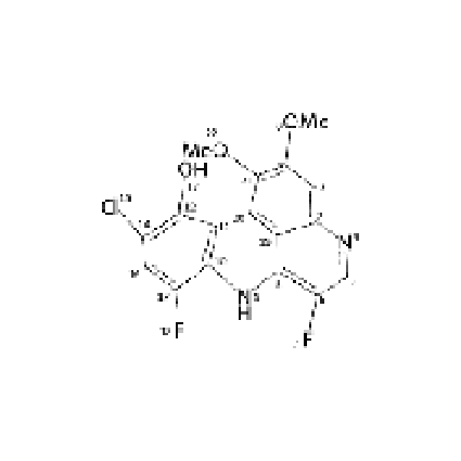 COc1cc2ncc(F)c(Nc3cc(O)c(Cl)cc3F)c2cc1OC